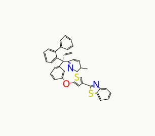 C=C[C@](C1=NCC(C)C=C1)(c1cccc(Oc2cc(-c3nc4ccccc4s3)cs2)c1)c1ccccc1-c1ccccc1